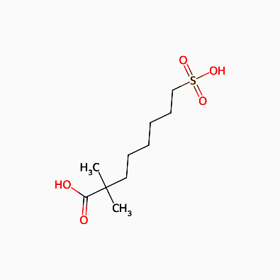 CC(C)(CCCCCCS(=O)(=O)O)C(=O)O